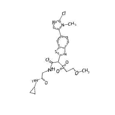 COCCS(=O)(=O)C(C(=O)NCC(=O)NC1CC1)c1nc2ccc(-c3cnc(Cl)n3C)cc2s1